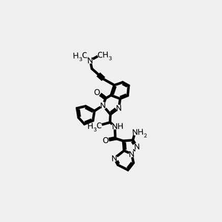 CC(NC(=O)c1c(N)nn2cccnc12)c1nc2cccc(C#CCN(C)C)c2c(=O)n1-c1ccccc1